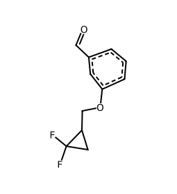 O=Cc1cccc(OCC2CC2(F)F)c1